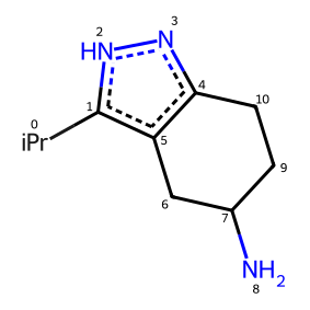 CC(C)c1[nH]nc2c1CC(N)CC2